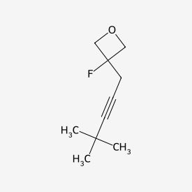 CC(C)(C)C#CCC1(F)COC1